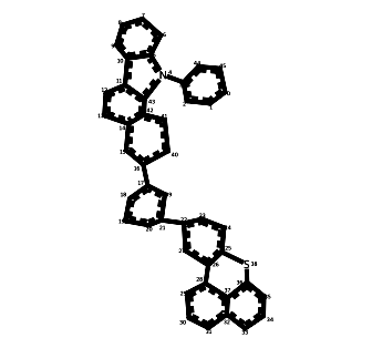 c1ccc(-n2c3ccccc3c3ccc4cc(-c5cccc(-c6ccc7c(c6)-c6cccc8cccc(c68)S7)c5)ccc4c32)cc1